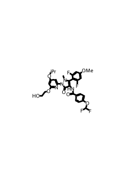 COc1cc(F)c(-c2c(NC(=O)c3ccc(OC(F)F)cc3)c(=O)n(-c3cc(OC(C)C)cc(OCCO)n3)n2C)c(F)c1